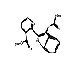 COC(=O)c1cccnc1-c1[nH]c2ccccc2c1OC(=O)C(C)(C)C